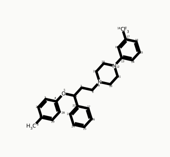 Cc1ccc(OC(CCN2CCN(c3cccc(C(F)(F)F)c3)CC2)c2ccccc2)cc1